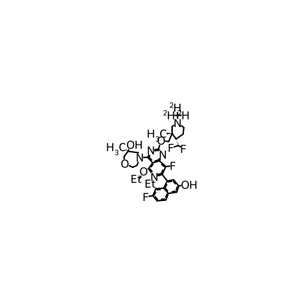 [2H]C([2H])([2H])N1CC[C@H](C(F)F)[C@](C)(COc2nc(N3CCOC[C@@](C)(O)C3)c3c(OCC)nc(-c4cc(O)cc5ccc(F)c(CC)c45)c(F)c3n2)C1